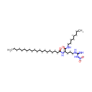 CCCCCCCCCCCCCCCCCCCC(=O)NC(CCCNC(=N)N[N+](=O)[O-])C(=O)NCCCCCCCC